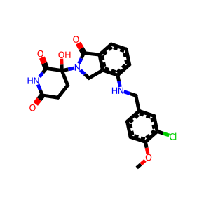 COc1ccc(CNc2cccc3c2CN(C2(O)CCC(=O)NC2=O)C3=O)cc1Cl